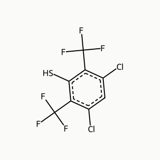 FC(F)(F)c1c(Cl)cc(Cl)c(C(F)(F)F)c1S